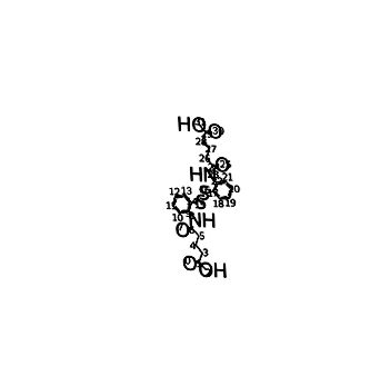 O=C(O)CCCC(=O)Nc1ccccc1SSc1ccccc1NC(=O)CCCC(=O)O